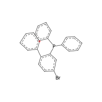 Brc1ccc(-c2ccccc2)c(P(c2ccccc2)c2ccccc2)c1